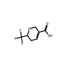 O=C(O)C1=CCC(C(F)(F)F)OC1